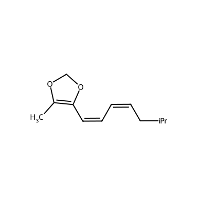 CC1=C(/C=C\C=C/CC(C)C)OCO1